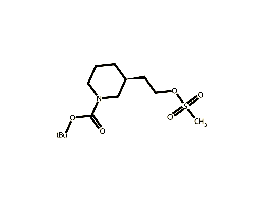 CC(C)(C)OC(=O)N1CCC[C@@H](CCOS(C)(=O)=O)C1